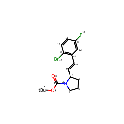 CC(C)(C)OC(=O)N1CCC[C@@H]1/C=C/c1cc(F)ccc1Br